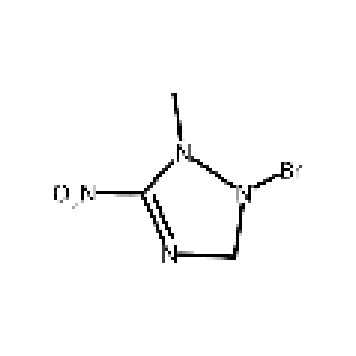 CN1C([N+](=O)[O-])=NCN1Br